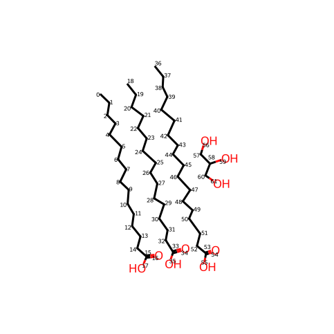 CCCCCCCCCCCCCCCC(=O)O.CCCCCCCCCCCCCCCC(=O)O.CCCCCCCCCCCCCCCCCC(=O)O.OCC(O)CO